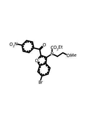 CCOC(=O)N(CCOC)c1c(C(=O)c2ccc([N+](=O)[O-])cc2)oc2cc(Br)ccc12